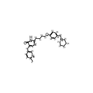 Cc1ccc(Cc2cnc(CCCCOc3ccc(CN4CCCCC4)cc3)[nH]c2=O)cn1